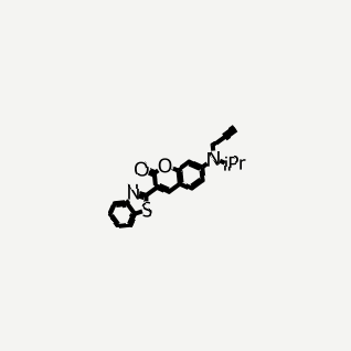 C#CCN(c1ccc2cc(-c3nc4ccccc4s3)c(=O)oc2c1)C(C)C